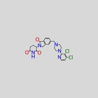 O=C1CCC(N2Cc3cc(CN4CCN(c5nccc(Cl)c5Cl)CC4)ccc3C2=O)C(=O)N1